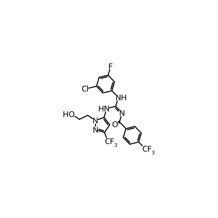 O=C(/N=C(/Nc1cc(F)cc(Cl)c1)Nc1cc(C(F)(F)F)nn1CCO)c1ccc(C(F)(F)F)cc1